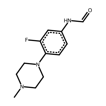 CN1CCN(c2ccc(NC=O)cc2F)CC1